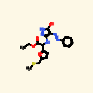 CCOC(=O)C(Nc1n[nH]c(O)c1/N=N/c1ccccc1)c1ccc(CSC)o1